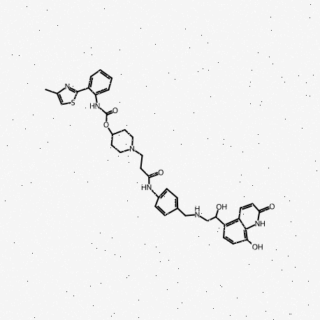 Cc1csc(-c2ccccc2NC(=O)OC2CCN(CCC(=O)Nc3ccc(CNCC(O)c4ccc(O)c5[nH]c(=O)ccc45)cc3)CC2)n1